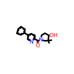 CC1(C)CN(C(=O)c2ccc(-c3ccccc3)cn2)CCC1O